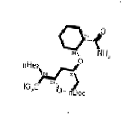 CCCCCCCCCCC[C@@H](C[C@H](O)[C@H](CCCCCC)C(=O)O)O[C@@H]1CCCC[C@@H]1C(N)=O